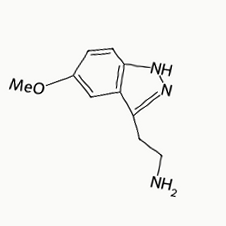 COc1ccc2[nH]nc(CCN)c2c1